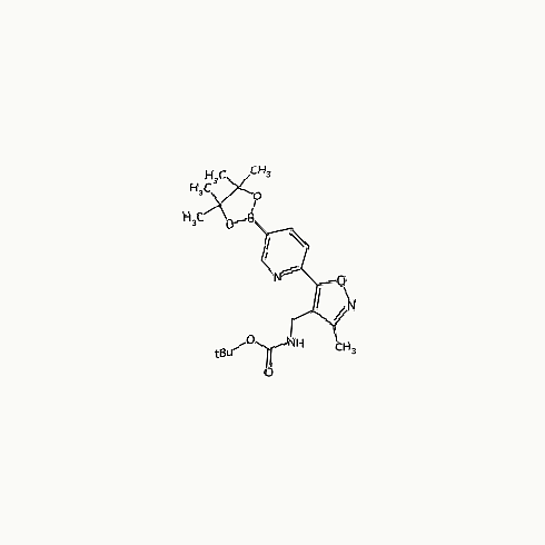 Cc1noc(-c2ccc(B3OC(C)(C)C(C)(C)O3)cn2)c1CNC(=O)OC(C)(C)C